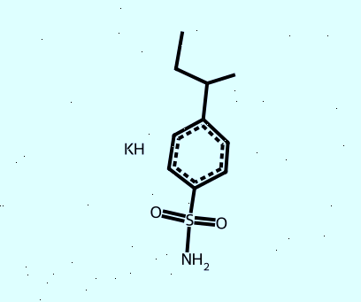 CCC(C)c1ccc(S(N)(=O)=O)cc1.[KH]